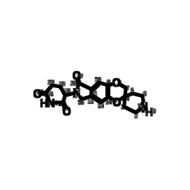 [2H]N1CCC2(CC1)COc1cc3c(cc1O2)CN(C1CCC(=O)NC1=O)C3=O